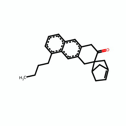 CCCCc1cccc2cc3c(cc12)CC1(CC2=CCC1C2)C(=O)C3